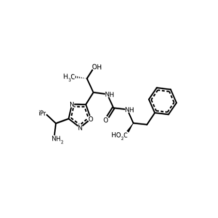 CC(C)C(N)c1noc(C(NC(=O)N[C@@H](Cc2ccccc2)C(=O)O)[C@H](C)O)n1